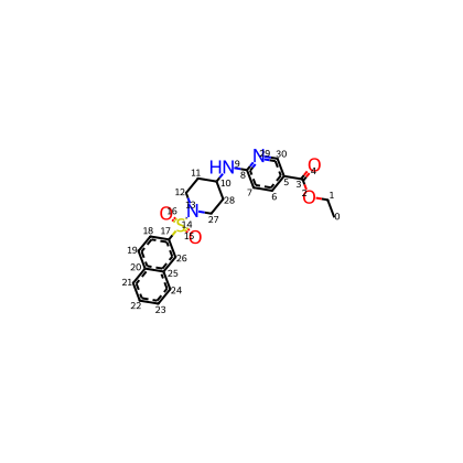 CCOC(=O)c1ccc(NC2CCN(S(=O)(=O)c3ccc4ccccc4c3)CC2)nc1